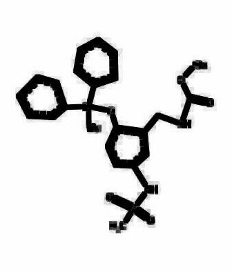 CC(C)(C)OC(=O)NCc1cc(NS(C)(=O)=O)ccc1O[Si](c1ccccc1)(c1ccccc1)C(C)(C)C